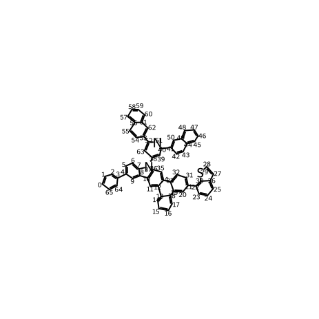 c1ccc(-c2ccc3c(c2)c2cc4c5ccccc5c5cc(-c6cccc7ccsc67)ccc5c4cc2n3-c2cc(-c3ccc4ccccc4c3)nc(-c3ccc4ccccc4c3)c2)cc1